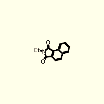 CCN1C(=O)c2ccc3ccccc3c2C1=O